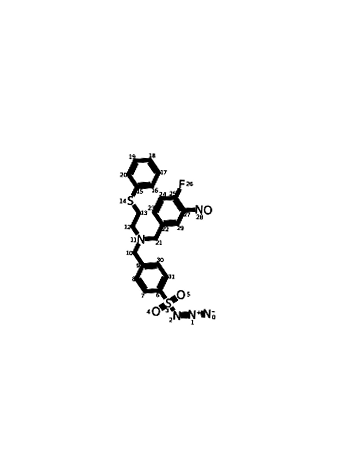 [N-]=[N+]=NS(=O)(=O)c1ccc(CN(CCSc2ccccc2)Cc2ccc(F)c(N=O)c2)cc1